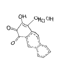 Cl.Cl.O=C1C(=O)c2cc3ccccc3cc2C(O)=C1O